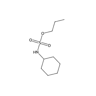 CCCOS(=O)(=O)NC1CCCCC1